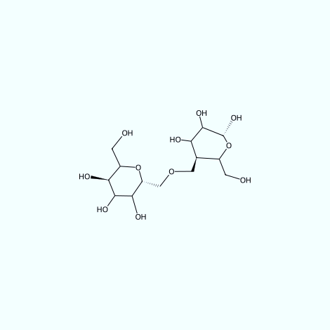 OCC1O[C@H](COC[C@@H]2C(CO)O[C@@H](O)C(O)C2O)C(O)C(O)[C@H]1O